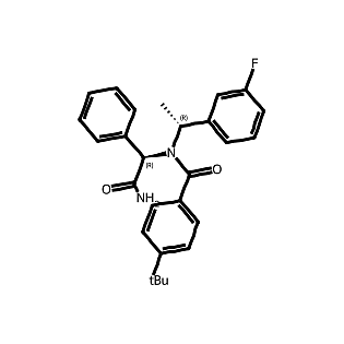 C[C@H](c1cccc(F)c1)N(C(=O)c1ccc(C(C)(C)C)cc1)[C@@H](C(N)=O)c1ccccc1